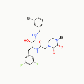 CCc1cccc(CNC[C@H](O)[C@H](Cc2cc(F)cc(F)c2)NC(=O)CN2CCN(CC)C(=O)C2=O)c1